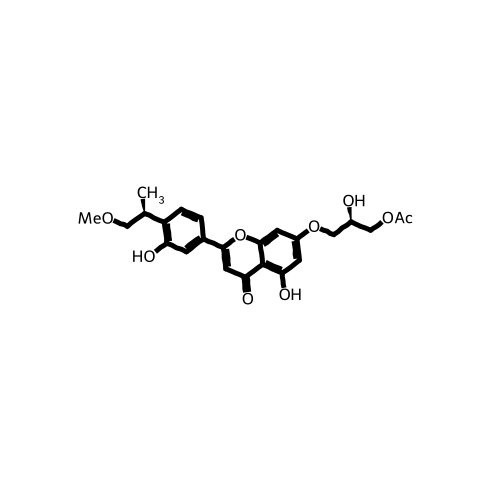 COC[C@@H](C)c1ccc(-c2cc(=O)c3c(O)cc(OC[C@@H](O)COC(C)=O)cc3o2)cc1O